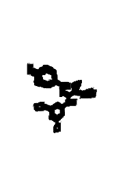 CC(C)(C)C(=O)/C(=N\Nc1ccc(F)cc1)Nc1cc(Cl)cc(Cl)c1